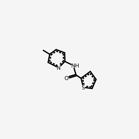 Cc1ccc(NC(=O)c2cccs2)nc1